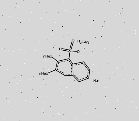 C=O.CCCCCCc1cc2ccccc2c(S(=O)(=O)[O-])c1CCCCCC.[Na+]